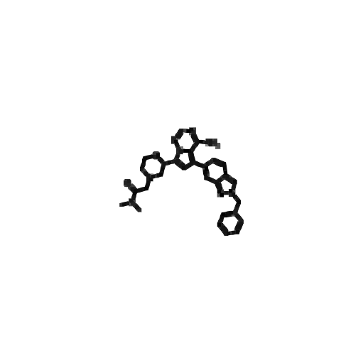 CN(C)C(=O)CN1CCOC(c2cc(-c3ccc4cn(Cc5ccccc5)nc4c3)c3c(N)ncnn23)C1